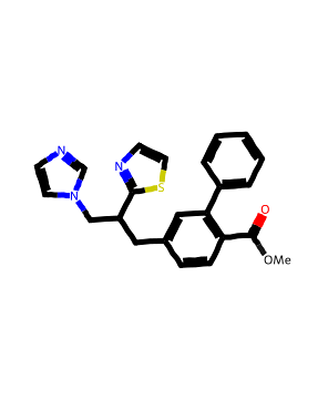 COC(=O)c1ccc(CC(Cn2ccnc2)c2nccs2)cc1-c1ccccc1